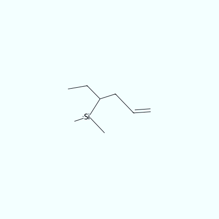 C=CCC(CC)[Si](C)C